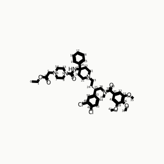 CCOC(=O)CN1CCN(C(=O)NC2(c3ccccc3)CCN(CC[C@H](CN(C)C(=O)c3cc(OC)c(OC)c(OC)c3)c3ccc(Cl)c(Cl)c3)CC2)CC1